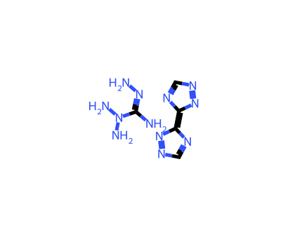 C1=NC(=C2N=CN=N2)N=N1.NN=C(N)N(N)N